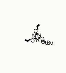 C=CCOc1nc(OCC=C)nc(OOC(C)(C)C)n1